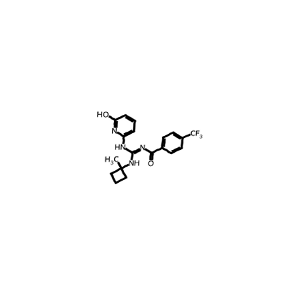 CC1(N/C(=N\C(=O)c2ccc(C(F)(F)F)cc2)Nc2cccc(O)n2)CCC1